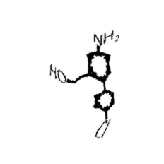 Nc1ccc(-c2ccc(Cl)cc2)c(CO)c1